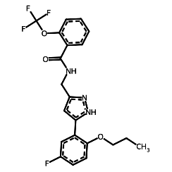 CCCOc1ccc(F)cc1-c1cc(CNC(=O)c2ccccc2OC(F)(F)F)n[nH]1